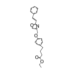 CCOC(=O)CCCc1ccc(OCc2coc(/C=C/c3ccccc3)n2)cc1